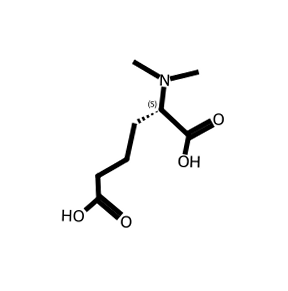 CN(C)[C@@H](CCCC(=O)O)C(=O)O